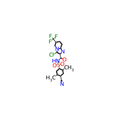 Cc1cc(S(=O)(=O)NC(=O)c2nc3ccc(C(F)(F)F)cn3c2Cl)c(C)cc1C#N